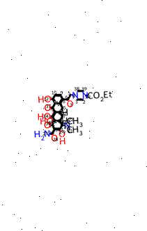 CCOC(=O)N1CCN(CC(=O)c2ccc(O)c3c2C[C@H]2C[C@H]4[C@H](N(C)C)C(O)=C(C(N)=O)C(=O)[C@@]4(O)C(O)=C2C3=O)CC1